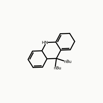 CCCCC1(CCCC)C2=CCCC=C2NC2C=CC=CC21